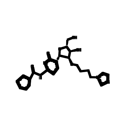 O=C(Nc1ccn([C@@H]2O[C@H](CO)[C@@H](O)[C@H]2OCCCCn2ccnc2)c(=O)n1)c1ccccc1